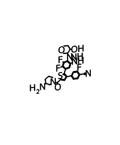 N#Cc1ccc(-c2cc(C(=O)N3CCCC(N)C3)sc2-c2cc3c(c(F)c2F)N(C2COCCC2O)NN3)cc1F